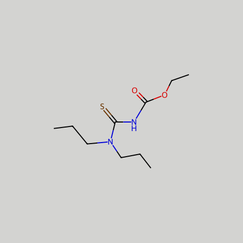 CCCN(CCC)C(=S)NC(=O)OCC